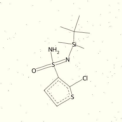 CC(C)(C)[Si](C)(C)N=S(N)(=O)c1ccsc1Cl